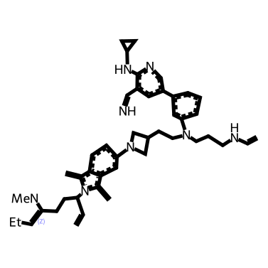 C=CNCCCN(CCC1CN(c2ccc3c(=C)n(C(C=C)CC/C(=C/CC)NC)c(=C)c3c2)C1)c1cccc(-c2cnc(NC3CC3)c(C=N)c2)c1